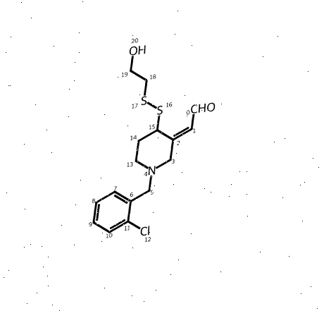 O=C/C=C1/CN(Cc2ccccc2Cl)CCC1SSCCO